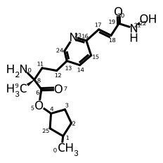 CC1CCC(OC(=O)[C@](C)(N)CCc2ccc(/C=C/C(=O)NO)nc2)C1